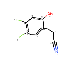 N#CCc1cc(F)c(F)cc1O